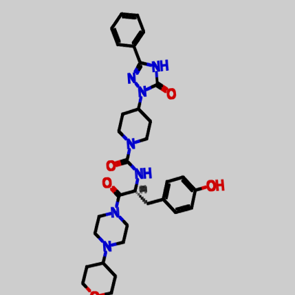 O=C(N[C@H](Cc1ccc(O)cc1)C(=O)N1CCN(C2CCOCC2)CC1)N1CCC(n2nc(-c3ccccc3)[nH]c2=O)CC1